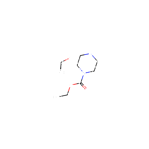 CCO.CCOC(=O)N1CCNCC1